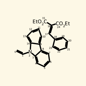 C=Cn1c2ccccc2c2ccccc21.CCOC(=O)C(=Cc1ccccc1)C(=O)OCC